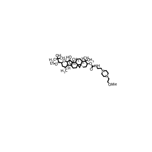 CCO[C@@H](C1C[C@@H](C)[C@H]2C(O1)[C@H](O)[C@@]1(C)C3CC[C@H]4C(C)(C)[C@@H](OC(=O)NCCN5CCN(CCOC)CC5)CC[C@@]45CC35CC[C@]21C)C(C)(C)O